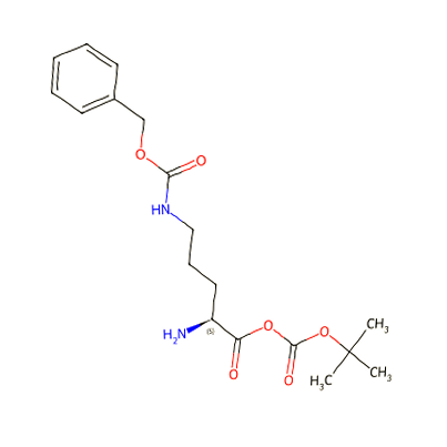 CC(C)(C)OC(=O)OC(=O)[C@@H](N)CCCNC(=O)OCc1ccccc1